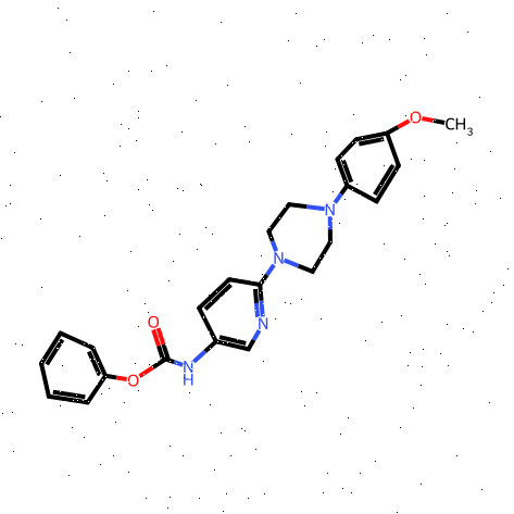 COc1ccc(N2CCN(c3ccc(NC(=O)Oc4ccccc4)cn3)CC2)cc1